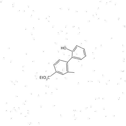 CCOC(=O)c1ccc(-c2ccccc2O)c(C)c1